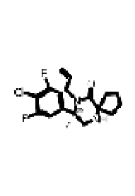 C=CCN1C(=O)C2(CCCC2)NC[C@@]1(C)c1cc(F)c(Cl)c(F)c1